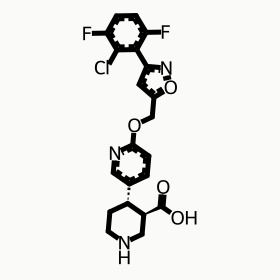 O=C(O)[C@H]1CNCC[C@@H]1c1ccc(OCc2cc(-c3c(F)ccc(F)c3Cl)no2)nc1